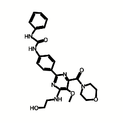 COc1c(NCCO)nc(-c2ccc(NC(=O)Nc3ccccc3)cc2)nc1C(=O)N1CCOCC1